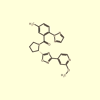 COc1cc(-c2noc([C@@H]3CCCN3C(=O)c3cc(C)ccc3-n3nccn3)n2)ccn1